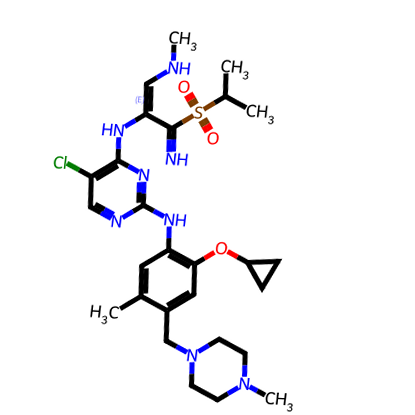 CN/C=C(/Nc1nc(Nc2cc(C)c(CN3CCN(C)CC3)cc2OC2CC2)ncc1Cl)C(=N)S(=O)(=O)C(C)C